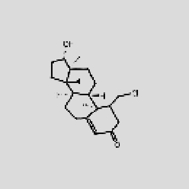 C[C@]12CC[C@H]3[C@@H](CCC4=CC(=O)CC(CCl)[C@@]43C)[C@@H]1CC[C@@H]2O